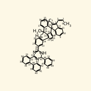 C/C=C\C1=C(C)C2(c3ccccc31)c1ccccc1C(C)(C)c1c(-c3cccc(C4=NC(c5ccccc5-c5ccccc5)=NC(c5ccccc5)N4)c3)cccc12